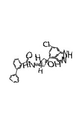 O=C(N[C@H]1[C@@H]2C[C@@](O)(c3cc(Cl)cc4[nH]ncc34)C[C@@H]21)c1cccc(-c2ccccc2)c1